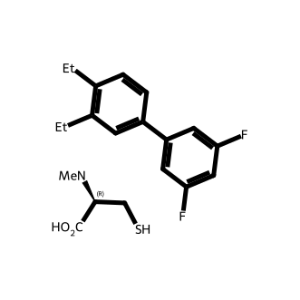 CCc1ccc(-c2cc(F)cc(F)c2)cc1CC.CN[C@@H](CS)C(=O)O